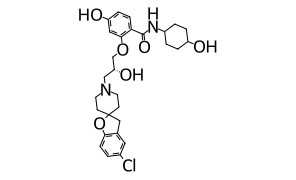 O=C(NC1CCC(O)CC1)c1ccc(O)cc1OC[C@H](O)CN1CCC2(CC1)Cc1cc(Cl)ccc1O2